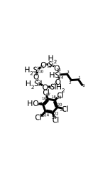 CCCC[SiH]1O[SiH2]O[SiH2]O[SiH2]O[SiH2]O1.Oc1c(Cl)c(Cl)c(Cl)c(Cl)c1Cl